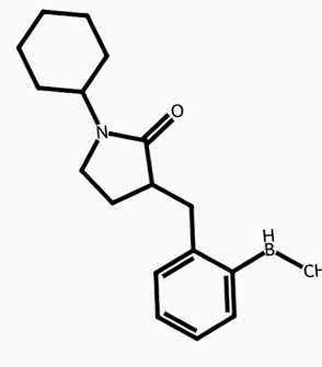 CBc1ccccc1CC1CCN(C2CCCCC2)C1=O